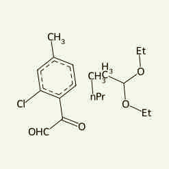 CCCC.CCOC(C)OCC.Cc1ccc(C(=O)C=O)c(Cl)c1